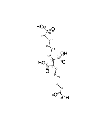 O=C(O)CCCCCC(C(=O)O)C(CCCCCC(=O)O)C(=O)O